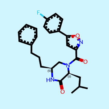 CC(C)C[C@H]1C(=O)N[C@@H](CCCc2ccccc2)CN1C(=O)c1cc(-c2ccc(F)cc2)on1